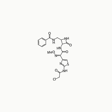 CON=C(C(=O)NC1C(=O)NC1CNC(=O)c1ccccc1)c1csc(NC(=O)CCl)n1